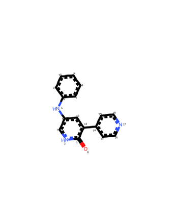 O=c1[nH]cc(Nc2ccccc2)cc1-c1ccncc1